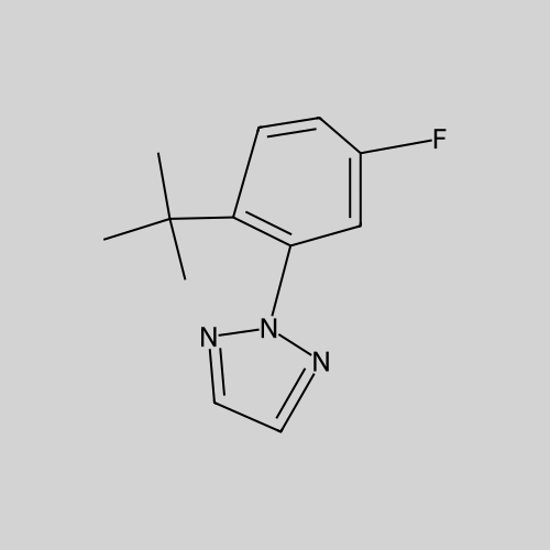 CC(C)(C)c1ccc(F)cc1-n1nccn1